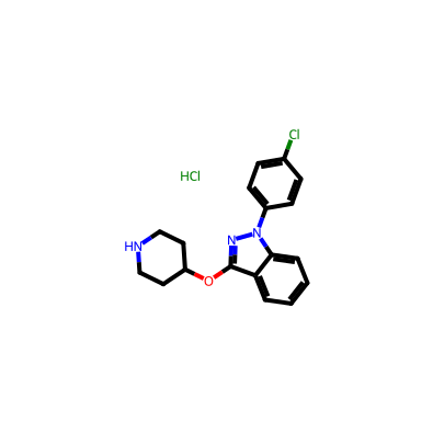 Cl.Clc1ccc(-n2nc(OC3CCNCC3)c3ccccc32)cc1